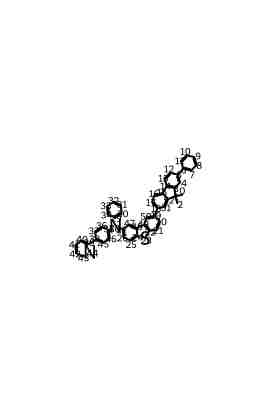 CC1(C)c2cc(-c3ccccc3)ccc2-c2ccc(-c3ccc4sc5ccc(N(c6ccccc6)c6ccc(-c7ccccn7)cc6)cc5c4c3)cc21